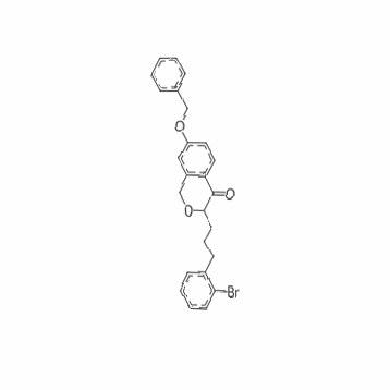 O=C1c2ccc(OCc3ccccc3)cc2COC1CCCc1ccccc1Br